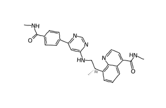 CNC(=O)c1ccc(-c2cc(NC[C@@H](C)c3cccc4c(C(=O)NC)ccnc34)ncn2)cc1